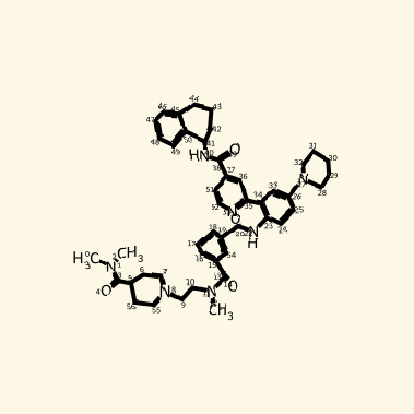 CN(C)C(=O)C1CCN(CCN(C)C(=O)c2cccc(C(=O)Nc3ccc(N4CCCCC4)cc3-c3cc(C(=O)NC4CCCc5ccccc54)ccn3)c2)CC1